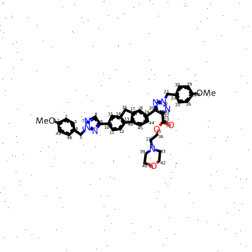 COc1ccc(Cn2ncc(-c3ccc4c(c3)Cc3cc(-c5nn(Cc6ccc(OC)cc6)nc5C(=O)OCCN5CCOCC5)ccc3-4)n2)cc1